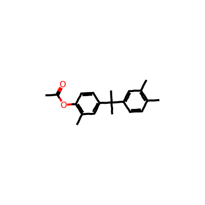 CC(=O)Oc1ccc(C(C)(C)c2ccc(C)c(C)c2)cc1C